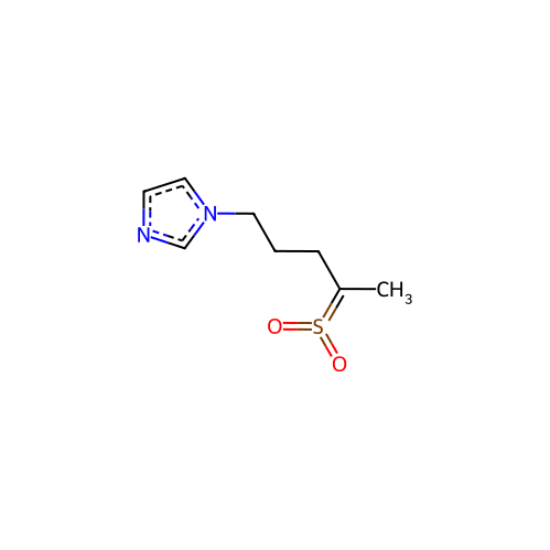 CC(CCCn1ccnc1)=S(=O)=O